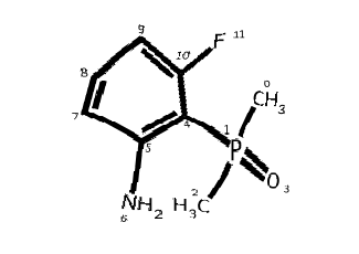 CP(C)(=O)c1c(N)cccc1F